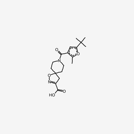 Cc1oc(C(C)(C)C)cc1C(=O)N1CCC2(CC1)CC(C(=O)O)=NO2